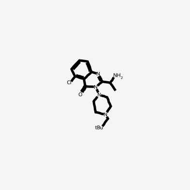 CC(N)c1nc2cccc(Cl)c2c(=O)n1N1CCN(CC(C)(C)C)CC1